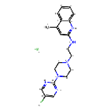 Br.Cc1cc(NCCN2CCN(c3ncc(F)cn3)CC2)nc2ccccc12